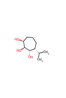 CC(C)[C@H]1CCC[C@H](O)[C@H](O)[C@H]1O